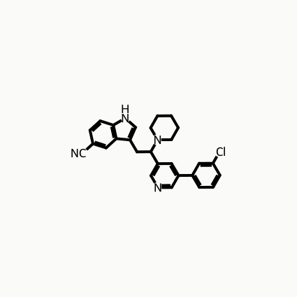 N#Cc1ccc2[nH]cc(CC(c3cncc(-c4cccc(Cl)c4)c3)N3CCCCC3)c2c1